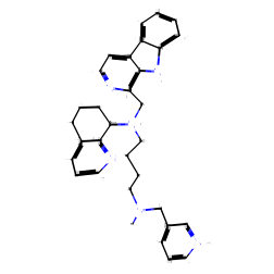 CN(CCCCN(Cc1nccc2c1[nH]c1ccccc12)C1CCCc2cccnc21)Cc1cccnc1